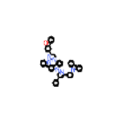 c1ccc(-c2cc(-c3cccc(-n4c5ccccc5c5ccccc54)c3)nc(-n3c4ccccc4c4c3ccc3c5ccccc5n(-c5nccc(-c6ccc7oc8ccccc8c7c6)n5)c34)c2)cc1